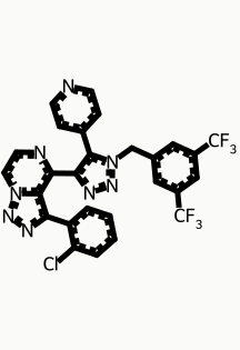 FC(F)(F)c1cc(Cn2nnc(-c3nccn4nnc(-c5ccccc5Cl)c34)c2-c2ccncc2)cc(C(F)(F)F)c1